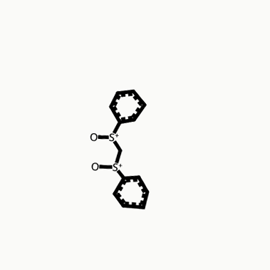 [O-][S+](C[S+]([O-])c1ccccc1)c1ccccc1